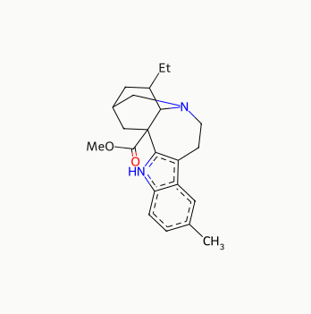 CCC1CC2CN3CCc4c([nH]c5ccc(C)cc45)C(C(=O)OC)(C2)C13